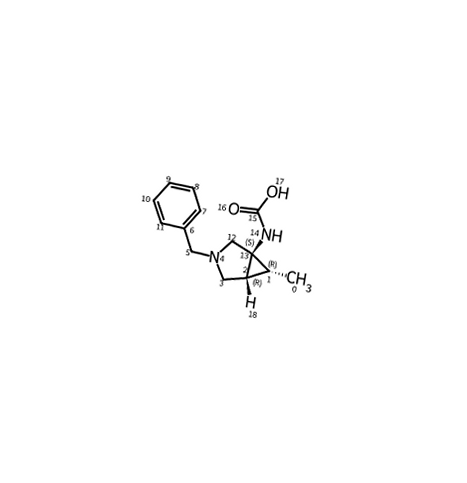 C[C@@H]1[C@@H]2CN(Cc3ccccc3)C[C@]12NC(=O)O